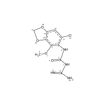 COc1c(NC(=O)NC(=N)N)c(Cl)cc2c1OCO2